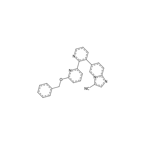 N#Cc1cnc2ccc(-c3cccnc3-c3cccc(OCc4ccccc4)n3)cn12